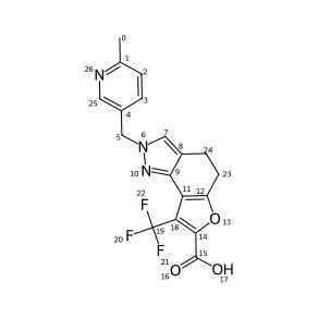 Cc1ccc(Cn2cc3c(n2)-c2c(oc(C(=O)O)c2C(F)(F)F)CC3)cn1